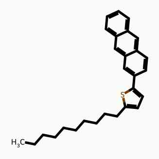 CCCCCCCCCCc1ccc(-c2ccc3cc4ccccc4cc3c2)s1